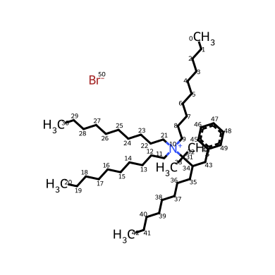 CCCCCCCCCC[N+](CCCCCCCCCC)(CCCCCCCCCC)C(C)(C)C(CCCCCCCC)Cc1ccccc1.[Br-]